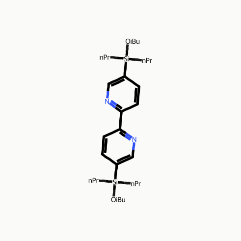 CCC[Si](CCC)(OCC(C)C)c1ccc(-c2ccc([Si](CCC)(CCC)OCC(C)C)cn2)nc1